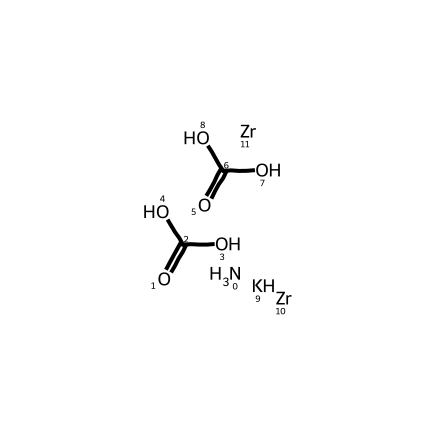 N.O=C(O)O.O=C(O)O.[KH].[Zr].[Zr]